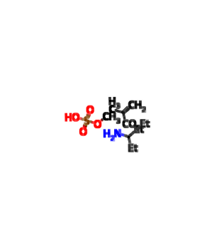 C=C(C)C(=O)OCC.CCC(N)CC.COS(=O)(=O)O